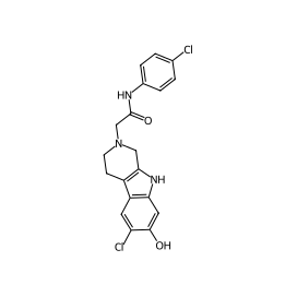 O=C(CN1CCc2c([nH]c3cc(O)c(Cl)cc23)C1)Nc1ccc(Cl)cc1